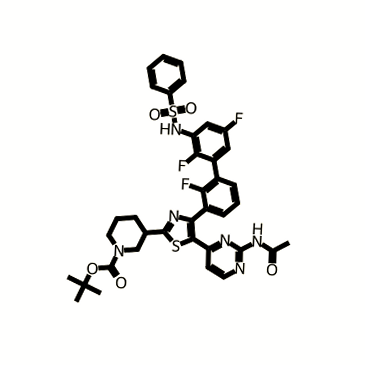 CC(=O)Nc1nccc(-c2sc(C3CCCN(C(=O)OC(C)(C)C)C3)nc2-c2cccc(-c3cc(F)cc(NS(=O)(=O)c4ccccc4)c3F)c2F)n1